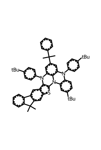 CC(C)(C)c1ccc(N2c3ccc(C(C)(C)C)cc3N3c4sc5cc6c(cc5c4N(c4ccc(C(C)(C)C)cc4)c4cc(C(C)(C)c5ccccc5)cc2c43)-c2ccccc2C6(C)C)cc1